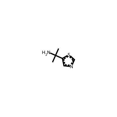 CC(C)(N)c1cncs1